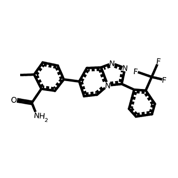 Cc1ccc(-c2ccn3c(-c4ccccc4C(F)(F)F)nnc3c2)cc1C(N)=O